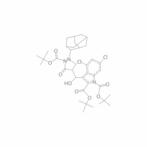 CC(C)(C)OC(=O)c1c(C(O)C2CN(C3C4CC5CC(C4)CC3C5)N(C(=O)OC(C)(C)C)C2=O)c2c(Cl)cc(Cl)cc2n1C(=O)OC(C)(C)C